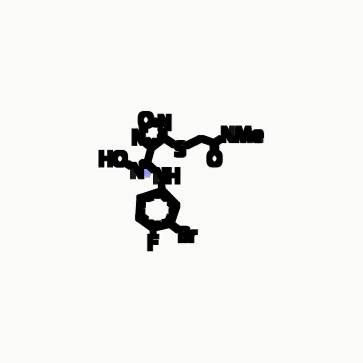 CNC(=O)CSc1nonc1/C(=N\O)Nc1ccc(F)c(Br)c1